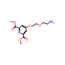 COC(=O)c1cc(OCCOCCN)cc(C(=O)OC)n1